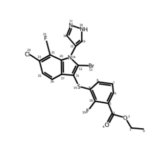 CCOC(=O)c1cccc(Sc2c(Br)n(-c3cn[nH]c3)c3c(F)c(Cl)ccc23)c1F